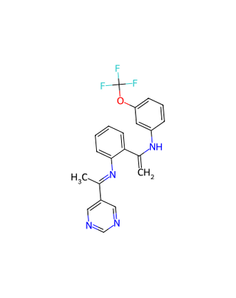 C=C(Nc1cccc(OC(F)(F)F)c1)c1ccccc1/N=C(\C)c1cncnc1